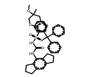 COC1(C)COc2c(S(=O)(=NC(c3ccccc3)(c3ccccc3)c3ccccc3)NC(=O)Nc3c4c(cc5c3CCC5)CCC4)cnn2C1